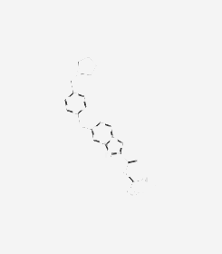 CNC(N)=NC(=O)c1cc2ccc(Oc3ccc(CN4CCCC4)cc3)cc2[nH]1